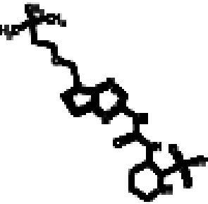 CCCS(=O)(=O)C1NCCCC1NC(=O)Nc1cnc2c(ccn2COCC[Si](C)(C)C)n1